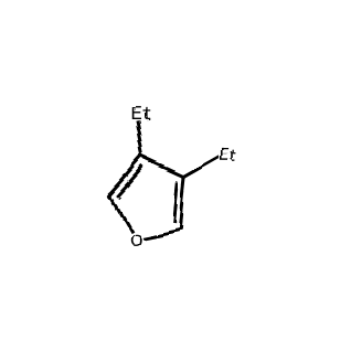 CCc1cocc1CC